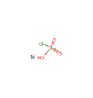 O=S(=O)(O)Cl.[Si]